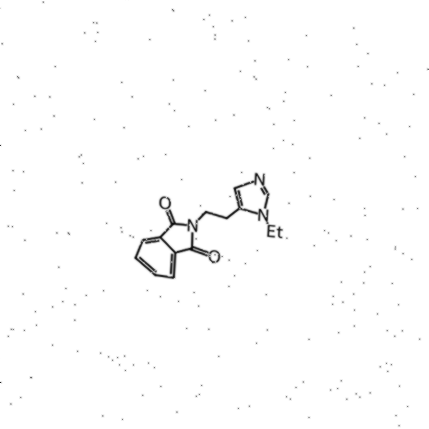 CCn1cncc1CCN1C(=O)c2ccccc2C1=O